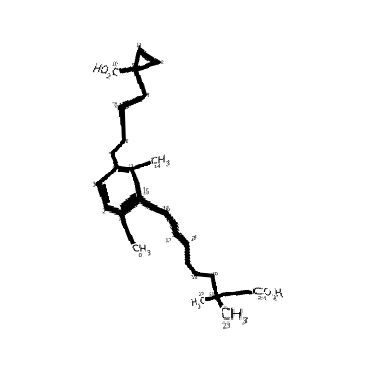 Cc1ccc(CCCCC2(C(=O)O)CC2)c(C)c1CCCCCC(C)(C)C(=O)O